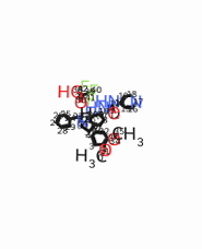 COc1ccc([C@@]23CC[C@@H](NC(=O)Nc4ccncc4)C[C@@H]2N(Cc2ccccc2)CC3)cc1OC.O=C(O)C(F)(F)F